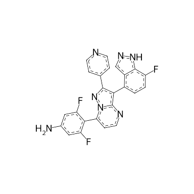 Nc1cc(F)c(-c2ccnc3c(-c4ccc(F)c5[nH]ncc45)c(-c4ccncc4)nn23)c(F)c1